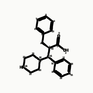 O=C(O)[C@H](Cc1ccccc1)N(c1ccncc1)N1CCNCC1